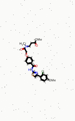 COC(=O)CCN(C)C(=O)COc1ccc(C(=O)Nc2nc(-c3ccc(OC)cc3Cl)cs2)cc1